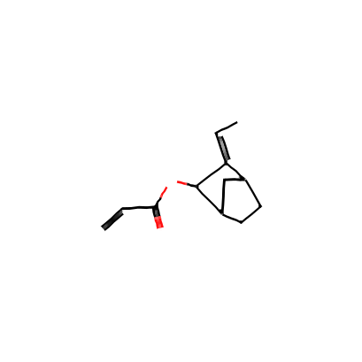 C=CC(=O)OC1C(=CC)C2CCC1C2